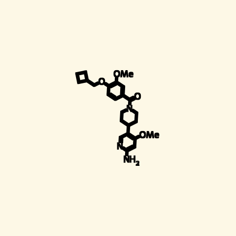 COc1cc(C(=O)N2CCC(c3cnc(N)cc3OC)CC2)ccc1OCC1CCC1